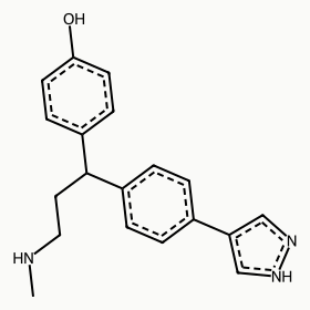 CNCCC(c1ccc(O)cc1)c1ccc(-c2cn[nH]c2)cc1